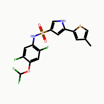 Cc1csc(-c2cc(S(=O)(=O)Nc3cc(F)c(OC(F)F)cc3F)c[nH]2)c1